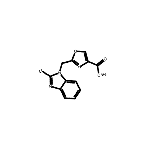 COC(=O)c1coc(Cn2c(Cl)nc3ccccc32)n1